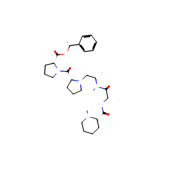 CC(C)[C@@H](CN1CCC[C@H]1C(=O)N1CCC[C@H]1C(=O)O[C@@H](C)c1ccccc1)N(C)C(=O)[C@@H](NC(=O)[C@H]1CCCCN1C)C(C)(C)C